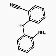 N#Cc1ccccc1Nc1ccccc1N